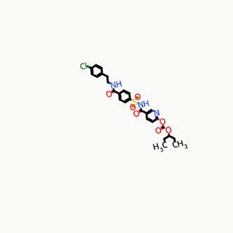 CCC(CC)OC(=O)Oc1ccc(C(=O)NS(=O)(=O)c2ccc(C(=O)NCCc3ccc(Cl)cc3)cc2)cn1